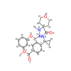 COC(=O)c1ccc(C2(NC(=O)C3(N(C)CCOc4ccccc4)CCOCC3)CC2)cc1